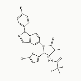 CC1C(=O)N(c2ccc3c(cnn3-c3ccc(F)cc3)c2)C(c2ccc(Cl)s2)[C@H]1NC(=O)C(C)(F)F